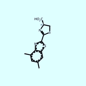 Cc1cc(C)c2nc(C3=N[C@@H](C(=O)O)CS3)sc2c1